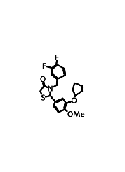 COc1ccc(C2SCC(=O)N2Cc2ccc(F)c(F)c2)cc1OC1CCCC1